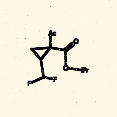 CC(=O)C1(C(=O)OC(C)C)CC1C(F)F